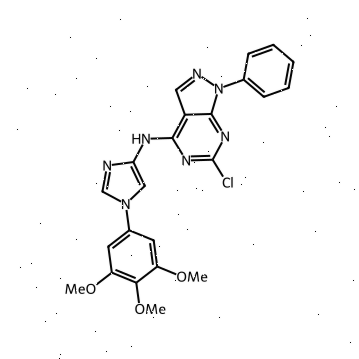 COc1cc(-n2cnc(Nc3nc(Cl)nc4c3cnn4-c3ccccc3)c2)cc(OC)c1OC